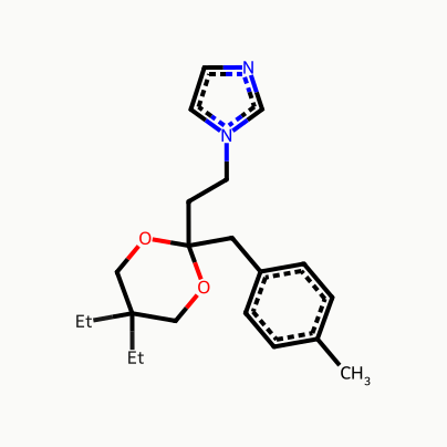 CCC1(CC)COC(CCn2ccnc2)(Cc2ccc(C)cc2)OC1